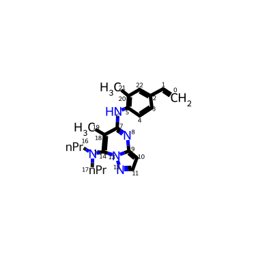 C=Cc1ccc(Nc2nc3ccnn3c(N(CCC)CCC)c2C)c(C)c1